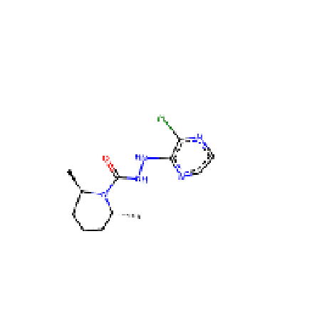 C[C@@H]1CCC[C@@H](C)N1C(=O)NNc1nccnc1Cl